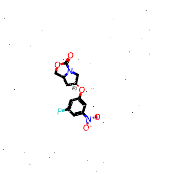 O=C1OCC2C[C@@H](Oc3cc(F)cc([N+](=O)[O-])c3)CN12